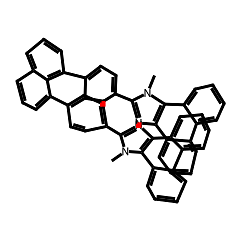 Cn1c(C2=CC=C(c3cccc4cccc(-c5ccc(-c6nc7c8ccccc8c8ccccc8c7n6C)cc5)c34)CC2)nc2c3ccccc3c3ccccc3c21